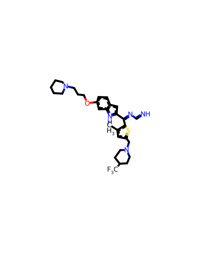 Cc1cc(CN2CCC(C(F)(F)F)CC2)sc1/C(=N\C=N)c1cc2ccc(OCCCN3CCCCC3)cc2[nH]1